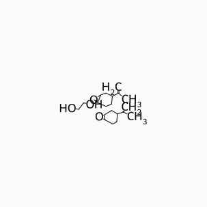 C=C(C)C1CCC2OC2C1.C=C(C)C1CCC2OC2C1.OCCO